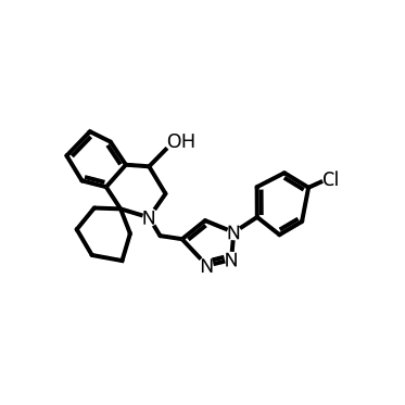 OC1CN(Cc2cn(-c3ccc(Cl)cc3)nn2)C2(CCCCC2)c2ccccc21